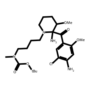 COc1cc(N)c(Cl)cc1C(=O)C1(N)C(OC)CCCN1CCCCN(C)C(=O)OC(C)(C)C